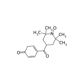 CC1(C)CC(C(=O)C2=CCC(=O)C=C2)CC(C)(C)N1[O]